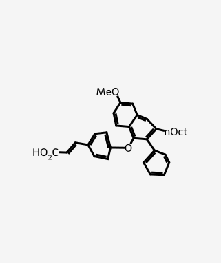 CCCCCCCCc1cc2cc(OC)ccc2c(Oc2ccc(C=CC(=O)O)cc2)c1-c1ccccc1